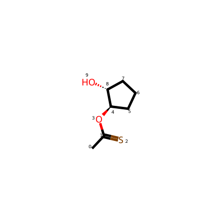 CC(=S)O[C@@H]1CCC[C@H]1O